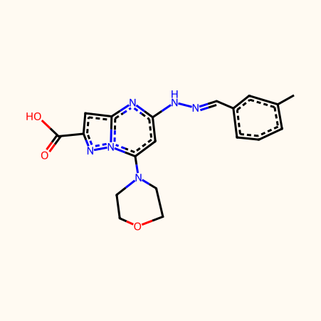 Cc1cccc(C=NNc2cc(N3CCOCC3)n3nc(C(=O)O)cc3n2)c1